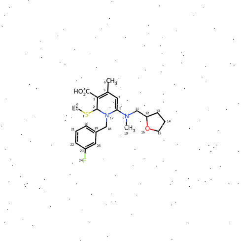 CCSC1C(C(=O)O)=C(C)C=C(N(C)CC2CCCO2)N1Cc1cccc(F)c1